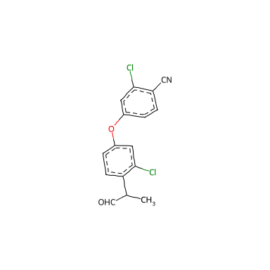 CC(C=O)c1ccc(Oc2ccc(C#N)c(Cl)c2)cc1Cl